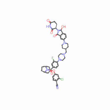 N#Cc1ccc(OC2CC3CCC(C2)N3C(=O)c2ccc(N3CCN(CC4CCN(c5ccc6c(c5)C(=O)N(C5CCC(=O)NC5=O)C6O)CC4)CC3)c(F)c2)cc1Cl